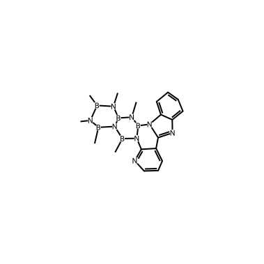 CB1N(C)B(C)N2B(N1C)N(C)B1N(B2C)c2ncccc2-c2nc3ccccc3n21